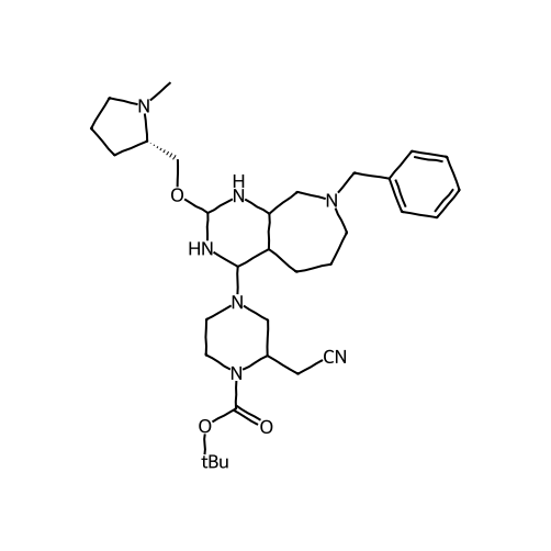 CN1CCC[C@H]1COC1NC2CN(Cc3ccccc3)CCCC2C(N2CCN(C(=O)OC(C)(C)C)C(CC#N)C2)N1